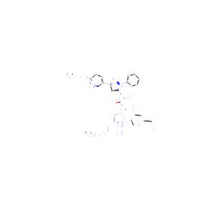 C=C(/C=C\C(F)=C(/C)F)[C@@H]1N[C@H](CCOC)C[C@H]1NC(=O)Nc1c(C)c(-c2ccc(OC)nc2)nn1-c1ccccc1